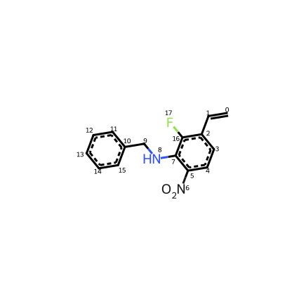 C=Cc1ccc([N+](=O)[O-])c(NCc2ccccc2)c1F